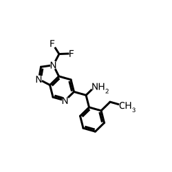 CCc1ccccc1C(N)c1cc2c(cn1)ncn2C(F)F